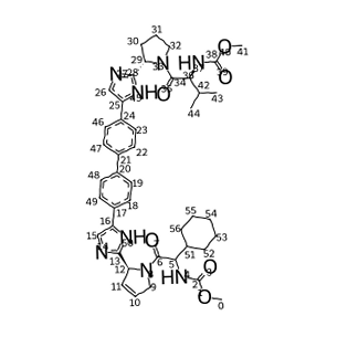 COC(=O)NC(C(=O)N1CC=C[C@H]1c1ncc(-c2ccc(-c3ccc(-c4cnc([C@@H]5CCCN5C(=O)[C@@H](NC(=O)OC)C(C)C)[nH]4)cc3)cc2)[nH]1)C1CCCCC1